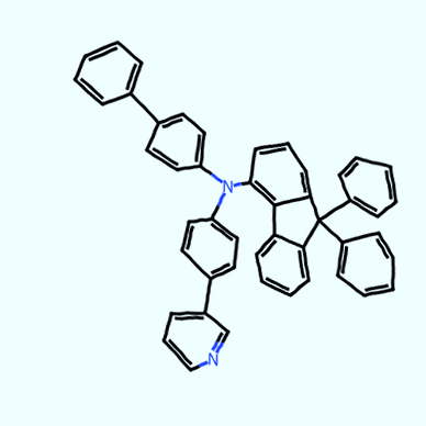 c1ccc(-c2ccc(N(c3ccc(-c4cccnc4)cc3)c3cccc4c3-c3ccccc3C4(c3ccccc3)c3ccccc3)cc2)cc1